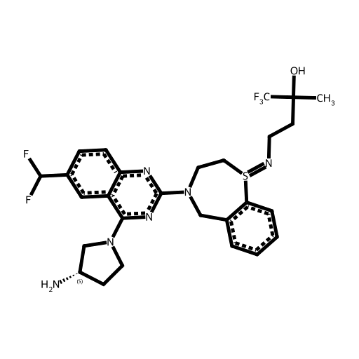 CC(O)(CCN=S1CCN(c2nc(N3CC[C@H](N)C3)c3cc(C(F)F)ccc3n2)Cc2ccccc21)C(F)(F)F